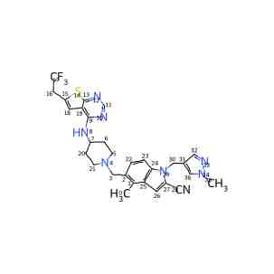 Cc1c(CN2CCC(Nc3ncnc4sc(CC(F)(F)F)cc34)CC2)ccc2c1cc(C#N)n2Cc1cnn(C)c1